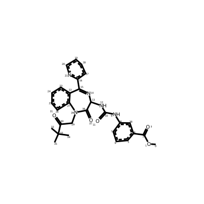 COC(=O)c1cccc(NC(=O)NC2N=C(c3ccccn3)c3ccccc3N(CC(=O)C(C)(C)C)C2=O)c1